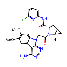 COc1cc2c3c(N)ncnc3n(CC(=O)N3[C@@H]4CC4C[C@H]3C(=O)Nc3cccc(Br)n3)c2cc1OC